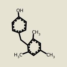 Cc1cc(C)c(Cc2ccc(O)cc2)c(C)c1